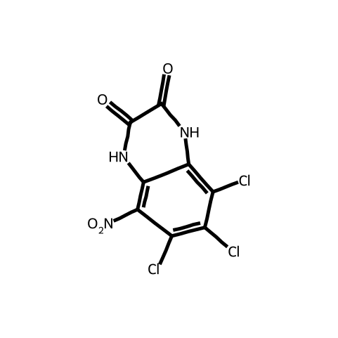 O=c1[nH]c2c(Cl)c(Cl)c(Cl)c([N+](=O)[O-])c2[nH]c1=O